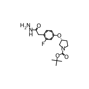 CC(C)(C)OC(=O)N1CC[C@@H](Oc2ccc(CC(=O)NN)c(F)c2)C1